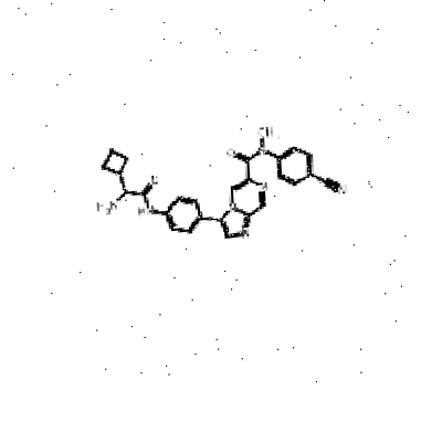 CN(C(=O)c1cn2c(-c3ccc(NC(=O)C(N)C4CCC4)cc3)cnc2cn1)c1ccc(C#N)cc1